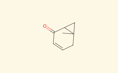 CC12CC=CC(=O)C1C2